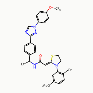 CCC(NC(=O)/C=C1\SCCN1c1cc(OC)ccc1C(C)C)c1ccc(-c2ncn(-c3ccc(OC(F)(F)F)cc3)n2)cc1